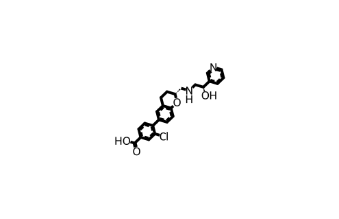 O=C(O)c1ccc(-c2ccc3c(c2)CC[C@H](CNC[C@@H](O)c2cccnc2)O3)c(Cl)c1